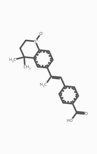 CC(=Cc1ccc(C(=O)O)cc1)c1ccc2c(c1)C(C)(C)CC[S+]2[O-]